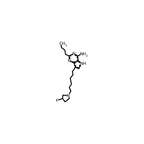 CCCCc1nc(N)c2[nH]cc(CCCCCCN3CCC(F)C3)c2n1